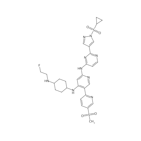 CS(=O)(=O)c1ccc(-c2cnc(Nc3ccnc(-c4cnn(S(=O)(=O)C5CC5)c4)n3)cc2NC2CCC(NCCF)CC2)nc1